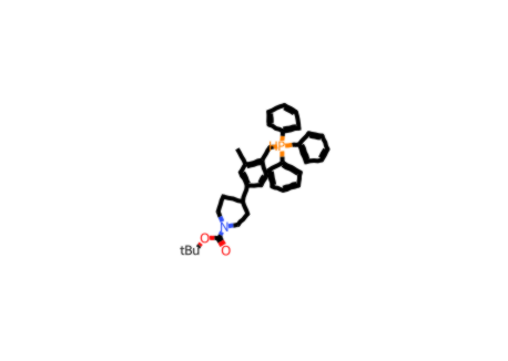 Cc1cc(C2CCN(C(=O)OC(C)(C)C)CC2)ccc1C[PH](c1ccccc1)(c1ccccc1)c1ccccc1